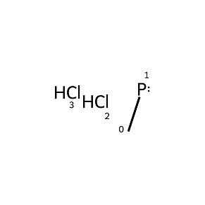 C[P].Cl.Cl